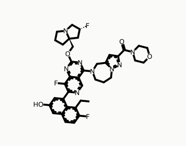 CCc1c(F)ccc2cc(O)cc(-c3ncc4c(N5CCCn6nc(C(=O)N7CCOCC7)cc6C5)nc(OC[C@@]56CCCN5C[C@H](F)C6)nc4c3F)c12